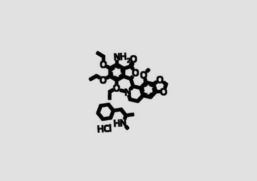 CCOc1c(N)c2c(c(OCC)c1OCC)C(C1c3c(cc4c(c3OC)OCO4)CCN1C)OC2=O.CNC(C)CC1CCCCC1.Cl